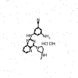 CNC1CCN(c2nc(Nc3cc(N)cc(C#N)c3)nc3cccnc23)C1.Cl.Cl